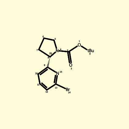 CC(C)(C)OC(=O)N1CCC[C@H]1c1cccc(Br)n1